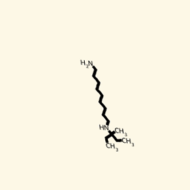 CCC(C)(CC)NCCCCCCCCCN